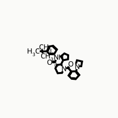 CC(C)(C)c1cccc(NC(=O)[C@H]2CCCN(C(=O)c3ccccc3N3CCCC3)C2C2CCCC2)c1